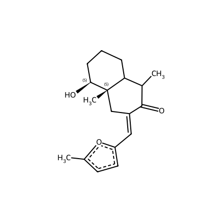 Cc1ccc(C=C2C[C@@]3(C)C(CCC[C@@H]3O)C(C)C2=O)o1